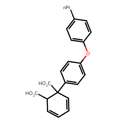 CCCc1ccc(Oc2ccc(C3(C(=O)O)C=CC=CC3C(=O)O)cc2)cc1